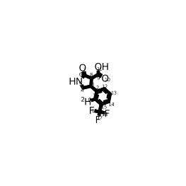 [2H]c1c(C2CNC(=O)C2C(=O)O)cccc1C(F)(F)F